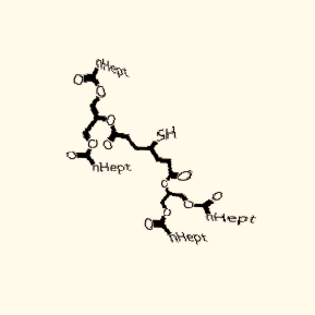 CCCCCCCC(=O)OCC(COC(=O)CCCCCCC)OC(=O)CCC(S)CCC(=O)OC(COC(=O)CCCCCCC)COC(=O)CCCCCCC